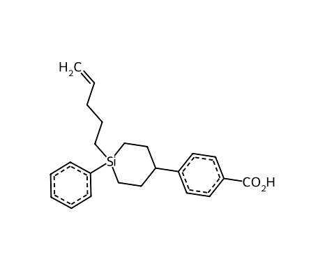 C=CCCC[Si]1(c2ccccc2)CCC(c2ccc(C(=O)O)cc2)CC1